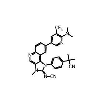 CN(C)c1ncc(-c2ccc3ncc4c(c3c2)n(-c2ccc(C(C)(C)C#N)cc2)/c(=N\C#N)n4C)cc1C(F)(F)F